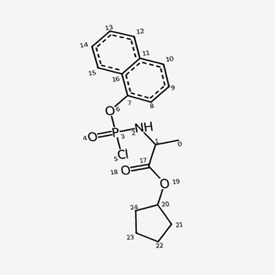 CC(NP(=O)(Cl)Oc1cccc2ccccc12)C(=O)OC1CCCC1